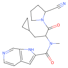 CN(C(=O)c1cc2ccncc2[nH]1)C(CC1CC1)C(=O)N1CCCC1C#N